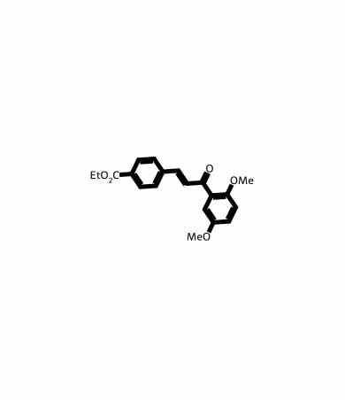 CCOC(=O)c1ccc(C=CC(=O)c2cc(OC)ccc2OC)cc1